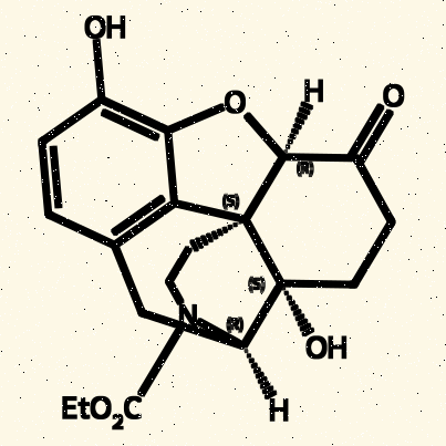 CCOC(=O)N1CC[C@]23c4c5ccc(O)c4O[C@H]2C(=O)CC[C@@]3(O)[C@H]1C5